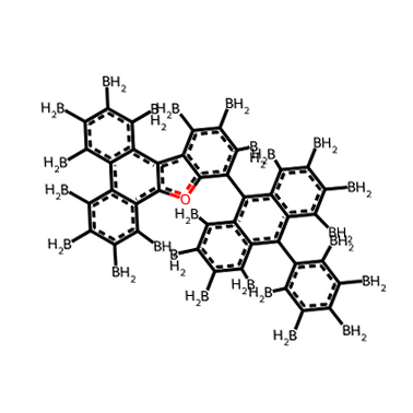 Bc1c(B)c(B)c(-c2c3c(B)c(B)c(B)c(B)c3c(-c3c(B)c(B)c(B)c4c3oc3c5c(B)c(B)c(B)c(B)c5c5c(B)c(B)c(B)c(B)c5c34)c3c(B)c(B)c(B)c(B)c23)c(B)c1B